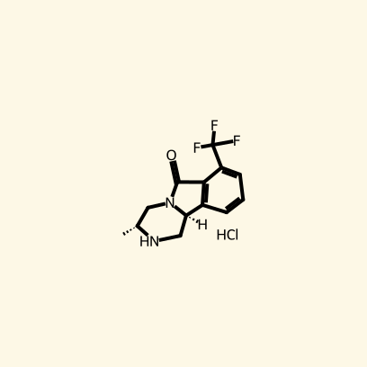 C[C@@H]1CN2C(=O)c3c(cccc3C(F)(F)F)[C@H]2CN1.Cl